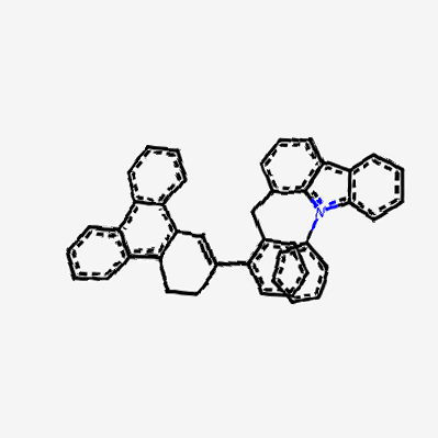 C1=C(c2ccccc2Cc2cccc3c4ccccc4n(-c4ccccc4)c23)CCc2c1c1ccccc1c1ccccc21